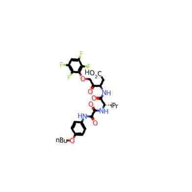 CCCCOc1ccc(NC(=O)C(=O)N[C@H](C(=O)NC(CC(=O)O)C(=O)COc2c(F)c(F)cc(F)c2F)C(C)C)cc1